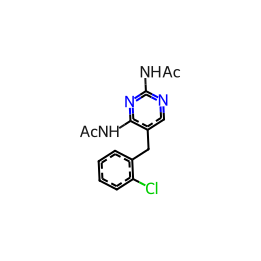 CC(=O)Nc1ncc(Cc2ccccc2Cl)c(NC(C)=O)n1